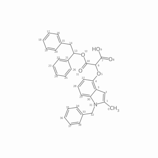 Cc1cc2c(OC(C(=O)O)C(=O)OC(Cc3ccccc3)c3ccccc3)cccc2n1Cc1ccccc1